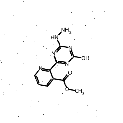 COC(=O)c1cccnc1-c1nc(O)nc(NN)n1